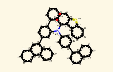 c1ccc(-c2ccc(-c3cc4ccccc4c4ccccc34)cc2N(c2ccc(-c3cccc4ccccc34)cc2)c2cccc3sc4ccccc4c23)cc1